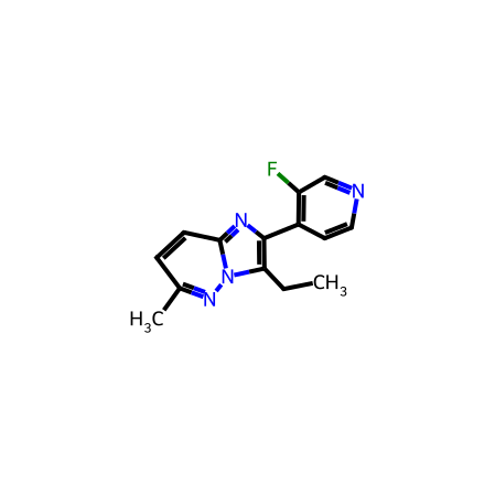 CCc1c(-c2ccncc2F)nc2ccc(C)nn12